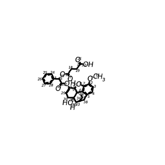 COc1ccc2c3c1O[C@@H]1C(OC(=O)[C@@H](OC(=O)CCC(=O)O)c4ccccc4)=CC[C@]4(O)[C@@H](CCC[C@@]314)C2